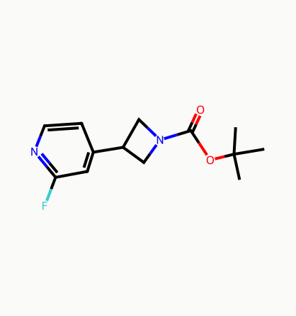 CC(C)(C)OC(=O)N1CC(c2ccnc(F)c2)C1